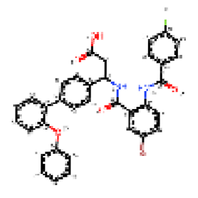 O=C(O)CC(NC(=O)c1cc(Br)ccc1NC(=O)c1ccc(F)cc1)c1ccc(-c2ccccc2Oc2ccccc2)cc1